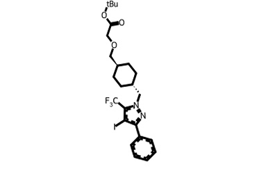 CC(C)(C)OC(=O)COC[C@H]1CC[C@H](Cn2nc(-c3ccccc3)c(I)c2C(F)(F)F)CC1